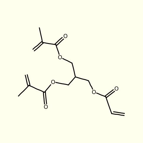 C=CC(=O)OCC(COC(=O)C(=C)C)COC(=O)C(=C)C